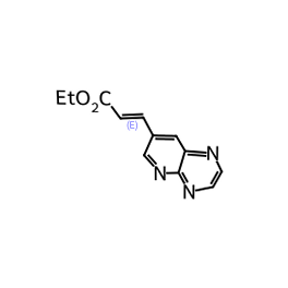 CCOC(=O)/C=C/c1cnc2nccnc2c1